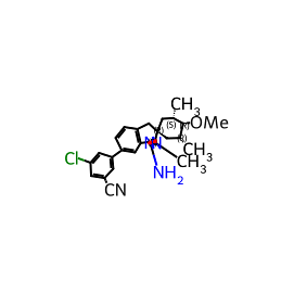 CO[C@H]1[C@H](C)C[C@@]2(Cc3ccc(-c4cc(Cl)cc(C#N)c4)cc3[C@@]23N=C(C)C(N)=N3)C[C@@H]1C